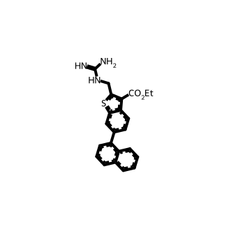 CCOC(=O)c1c(CNC(=N)N)sc2cc(-c3cccc4ccccc34)ccc12